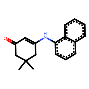 CC1(C)CC(=O)C=C(Nc2cccc3ccccc23)C1